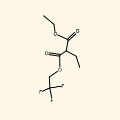 CCOC(=O)C(CC)C(=O)OCC(F)(F)F